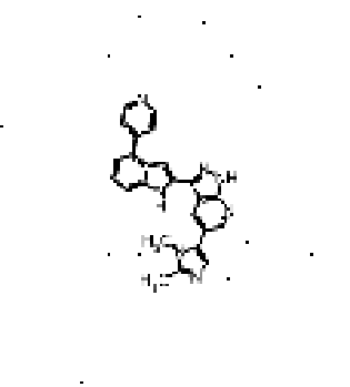 Cc1ncc(-c2cnc3[nH]nc(-c4cc5c(-c6ccncc6)cccc5[nH]4)c3c2)n1C